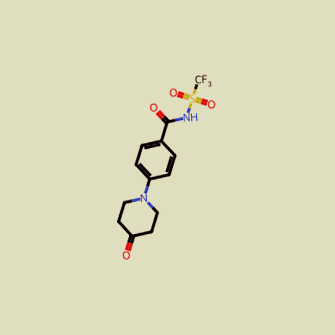 O=C1CCN(c2ccc(C(=O)NS(=O)(=O)C(F)(F)F)cc2)CC1